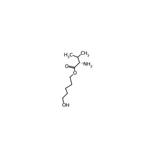 CC(C)[C@H](N)C(=O)OCCCCCO